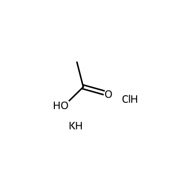 CC(=O)O.Cl.[KH]